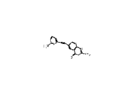 CC1=Nc2ncc(C#Cc3cccc(N)n3)cc2C(=O)C1